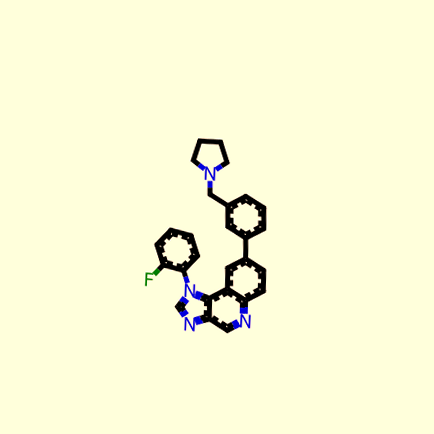 Fc1ccccc1-n1cnc2cnc3ccc(-c4cccc(CN5CCCC5)c4)cc3c21